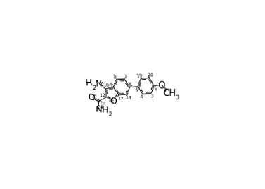 COc1ccc(-c2ccc3c(N)c(C(N)=O)oc3c2)cc1